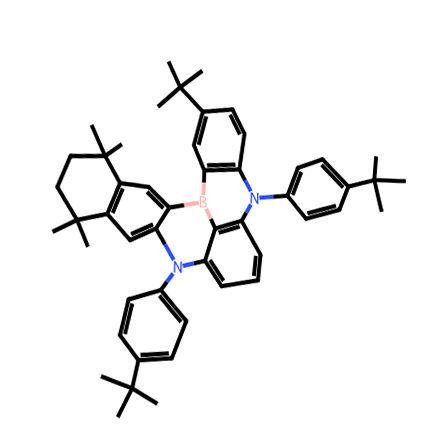 CC(C)(C)c1ccc(N2c3ccc(C(C)(C)C)cc3B3c4cc5c(cc4N(c4ccc(C(C)(C)C)cc4)c4cccc2c43)C(C)(C)CCC5(C)C)cc1